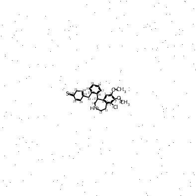 COc1cc2c(c(Cl)c1OC)CCNCC2c1ccccc1CC1=CCC(=S)C=C1